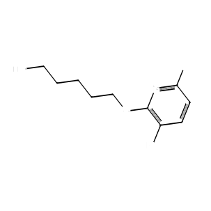 Cc1ccc(Br)c(OCCCCCO)n1